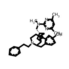 Cc1cc(C)nc(N(C)C[C@H]2CC34CCCC2C32CCN(CCc3ccccc3)C4Cc3ccc(O)cc32)n1